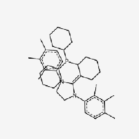 Cc1ccc(N2CCN(c3ccc(C)c(C)c3C)C2=C2CCCCC2P(C2CCCCC2)C2CCCCC2)c(C)c1C